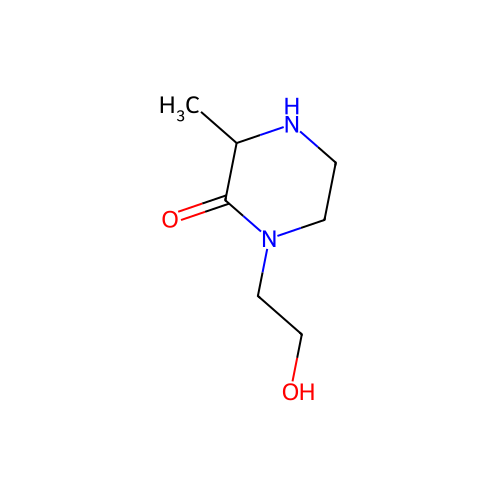 CC1NCCN(CCO)C1=O